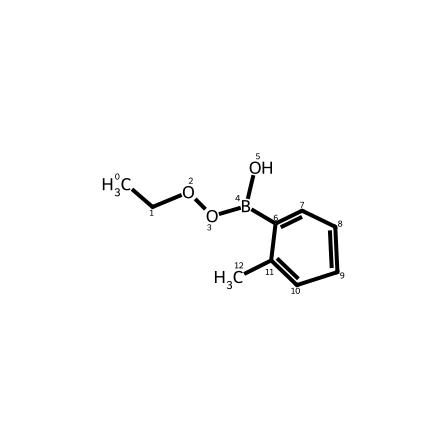 CCOOB(O)c1ccccc1C